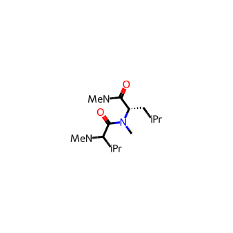 CNC(=O)[C@H](CC(C)C)N(C)C(=O)C(NC)C(C)C